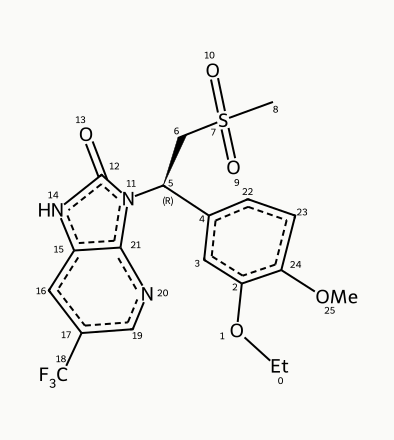 CCOc1cc([C@H](CS(C)(=O)=O)n2c(=O)[nH]c3cc(C(F)(F)F)cnc32)ccc1OC